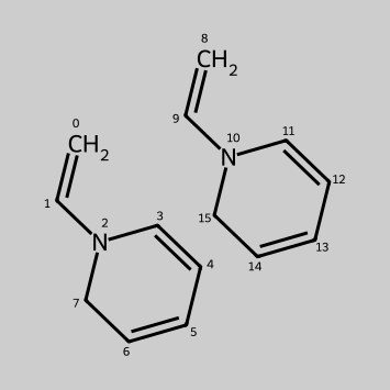 C=CN1C=CC=CC1.C=CN1C=CC=CC1